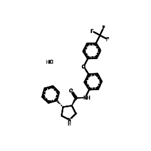 Cl.O=C(Nc1cccc(Oc2ccc(C(F)(F)F)cc2)c1)[C@H]1CNC[C@@H]1c1ccccc1